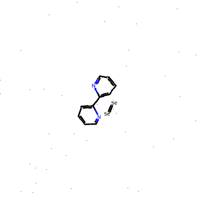 [Se]=[Se].c1ccc(-c2ccccn2)nc1